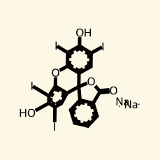 O=C1OC2(c3ccccc31)c1cc(I)c(O)c(I)c1Oc1c2cc(I)c(O)c1I.[Na].[Na]